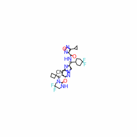 N#CC1([C@H](c2cnn3cc([C@@H](NC(=O)c4nonc4C4CC4)C4CCC(F)(F)CC4)nc3c2)N2CC(F)(F)CNC2=O)CCC1